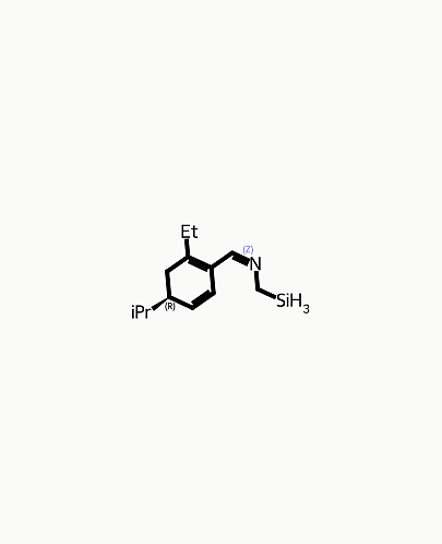 CCC1=C(/C=N\C[SiH3])C=C[C@@H](C(C)C)C1